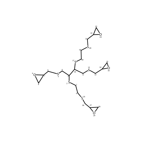 C(CSC(CSCC1CO1)C(CSCC1CO1)SCCSCC1CO1)SCC1CO1